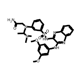 COc1cc(Nc2nc3ccccc3nc2NS(=O)(=O)c2cccc(N(CC(N)=O)C(C)N(C)C)c2)cc(OC)c1